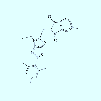 CCn1c(/C=C2/C(=O)c3ccc(C)cc3C2=O)cc2sc(-c3c(C)cc(C)cc3C)nc21